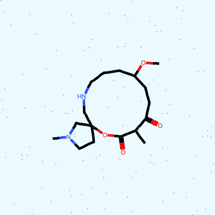 COC1CCCNCC2(CCN(C)C2)OC(=O)C(C)C(=O)CC1